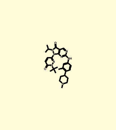 Cc1cc(Nc2ncc3c(=O)n(C(C)C)n(-c4ccc(=O)n(C(C)(C)C)n4)c3n2)ccc1C1CCN(C)CC1